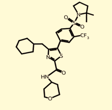 CC1(C)CCCN1S(=O)(=O)c1ccc(-c2sc(C(=O)NC3CCOCC3)nc2CC2CCCCC2)cc1C(F)(F)F